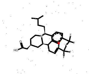 CC(C)CC[C@@H](c1ccc(C(F)(F)F)cc1)N1CC[C@H](CC(=O)O)C[C@@H]1C1C=CC(C(F)(F)F)=CC1